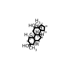 C[C@@]1(O)CC[C@@]2(C)[C@@H](CC[C@@H]3[C@@H]2C[C@@H](O)[C@]2(C)CCC[C@@H]32)C1